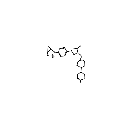 CC1OC(c2ccc(N3NCC4CC43)cc2)CC1CN1CCC(C2CC=C(I)CC2)CC1